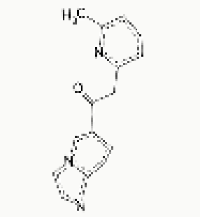 Cc1cccc(CC(=O)c2ccc3nccn3c2)n1